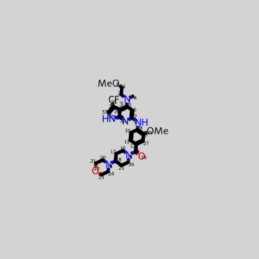 COCCN(C)c1cc(Nc2ccc(C(=O)N3CCC(N4CCOCC4)CC3)cc2OC)nc2[nH]cc(C(F)(F)F)c12